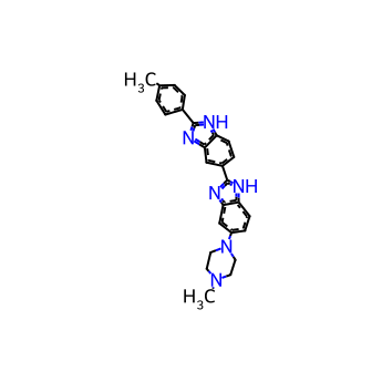 Cc1ccc(-c2nc3cc(-c4nc5cc(N6CCN(C)CC6)ccc5[nH]4)ccc3[nH]2)cc1